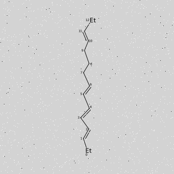 CCC=CC=CC=CCCCC=CCC